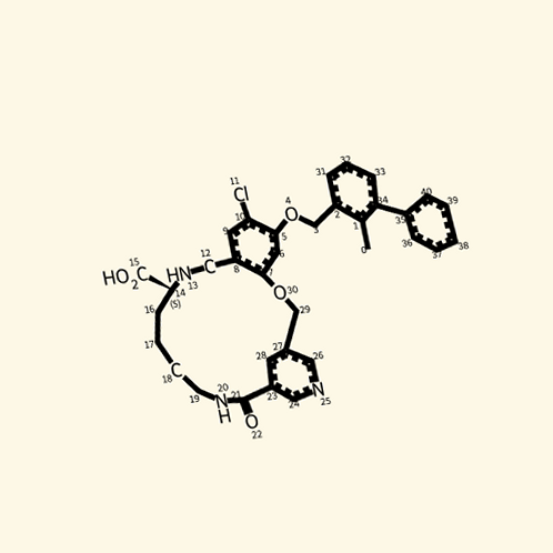 Cc1c(COc2cc3c(cc2Cl)CN[C@H](C(=O)O)CCCCNC(=O)c2cncc(c2)CO3)cccc1-c1ccccc1